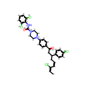 C/C=C(Cl)\C=C/CC(CC(=O)c1ccc(N2CCN(C(=O)Nc3c(Cl)cccc3Cl)CC2)cc1)c1ccc(Cl)cc1